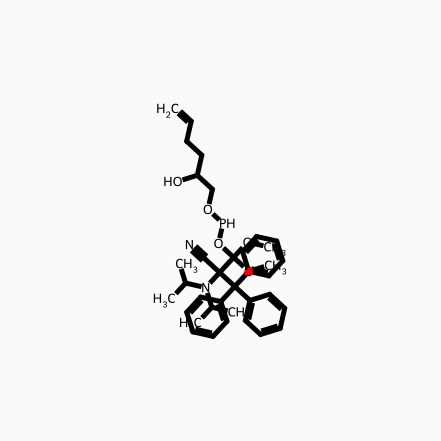 C=CCCC(O)COPOC(OC)(OC)C(C#N)(N(C(C)C)C(C)C)C(c1ccccc1)(c1ccccc1)c1ccccc1